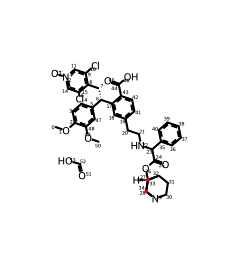 COc1ccc([C@H](Cc2c(Cl)c[n+]([O-])cc2Cl)c2cc(CCNC(C(=O)O[C@H]3CN4CCC3CC4)c3ccccc3)ccc2C(=O)O)cc1OC.O=CO